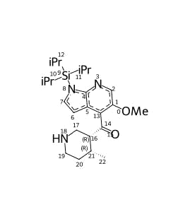 COc1cnc2c(ccn2[Si](C(C)C)(C(C)C)C(C)C)c1C(=O)[C@H]1CNCC[C@H]1C